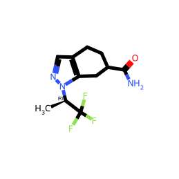 C[C@@H](n1ncc2c1CC(C(N)=O)CC2)C(F)(F)F